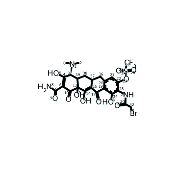 CN(C)[C@@H]1C(O)=C(C(N)=O)C(=O)C2(O)C(O)=C3C(=O)c4c(cc(OS(=O)(=O)C(F)(F)F)c(NC(=O)CBr)c4O)CC3CC12